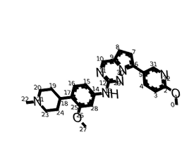 COc1ccc(-c2ccc3cnc(Nc4ccc(C5CCN(C)CC5)c(OC)c4)nn23)cn1